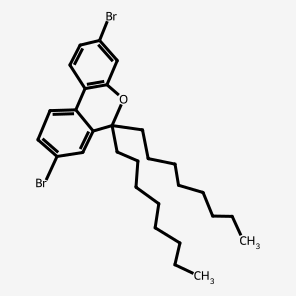 CCCCCCCCC1(CCCCCCCC)Oc2cc(Br)ccc2-c2ccc(Br)cc21